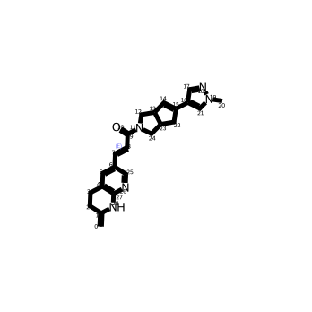 C=C1CCc2cc(/C=C/C(=O)N3CC4C=C(c5cnn(C)c5)CC4C3)cnc2N1